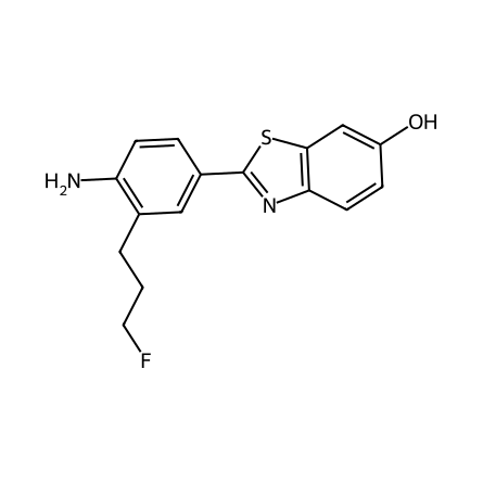 Nc1ccc(-c2nc3ccc(O)cc3s2)cc1CCCF